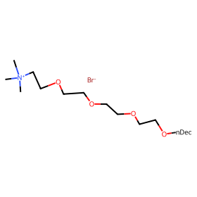 CCCCCCCCCCOCCOCCOCCOCC[N+](C)(C)C.[Br-]